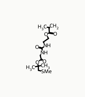 C=C(C)C(=O)OCCNC(=O)NCC(=O)OC(C)(C)CSC